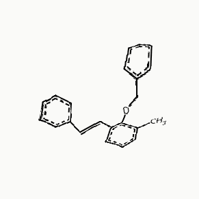 Cc1cccc(/C=C/c2ccccc2)c1OCc1ccccc1